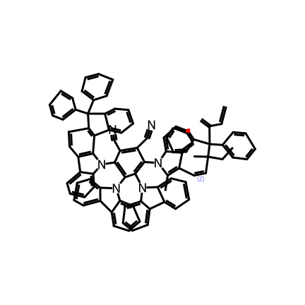 C=CC(=C)C(c1ccccc1)(c1ccccc1)C(C)(/C=C\c1c(C)n(-c2c(C#N)c(C#N)c(-n3c4ccccc4c4ccc5c(c43)-c3ccccc3C5(c3ccccc3)c3ccccc3)c(-n3c4ccccc4c4ccccc43)c2-n2c3ccccc3c3ccccc32)c2ccccc12)CC